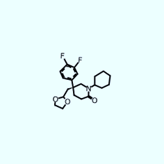 O=C1CC[C@](CC2OCCO2)(c2ccc(F)c(F)c2)CN1C1CCCCC1